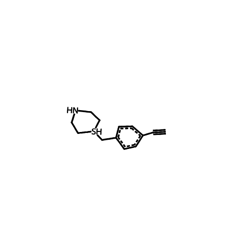 C#Cc1ccc(C[SH]2CCNCC2)cc1